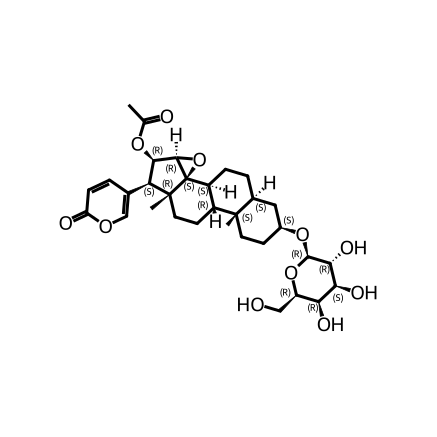 CC(=O)O[C@H]1[C@H]2O[C@]23[C@H]2CC[C@H]4C[C@@H](O[C@@H]5O[C@H](CO)[C@H](O)[C@H](O)[C@H]5O)CC[C@]4(C)[C@@H]2CC[C@]3(C)[C@H]1c1ccc(=O)oc1